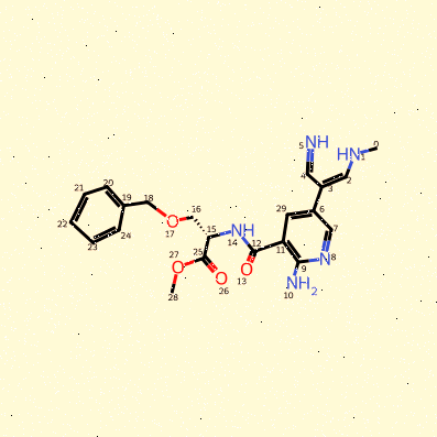 CN/C=C(\C=N)c1cnc(N)c(C(=O)N[C@@H](COCc2ccccc2)C(=O)OC)c1